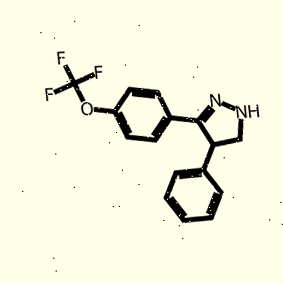 FC(F)(F)Oc1ccc(C2=NNCC2c2ccccc2)cc1